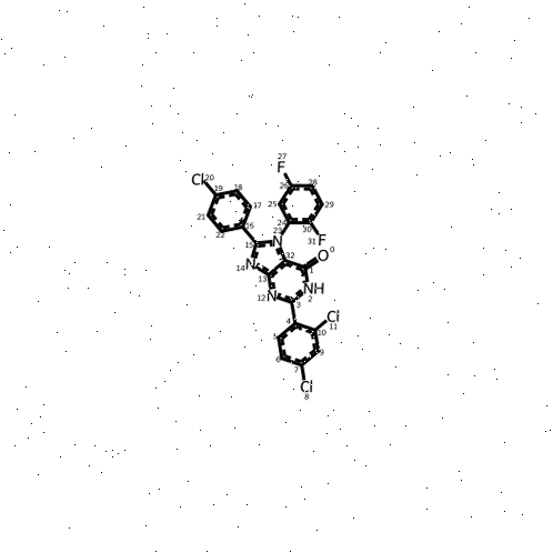 O=c1[nH]c(-c2ccc(Cl)cc2Cl)nc2nc(-c3ccc(Cl)cc3)n(-c3cc(F)ccc3F)c12